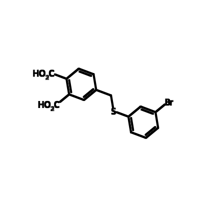 O=C(O)c1ccc(CSc2cccc(Br)c2)cc1C(=O)O